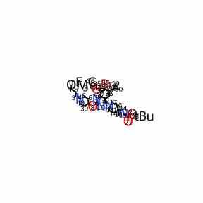 COCCCN1CCC(Oc2nc(N3CCC4(CC3)CN(C(=O)OC(C)(C)C)C4)c3cc(C4CC4)c(Br)c(OCC(F)(F)F)c3n2)CC1